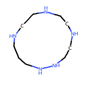 C1CNCCNCCNCCNNC1